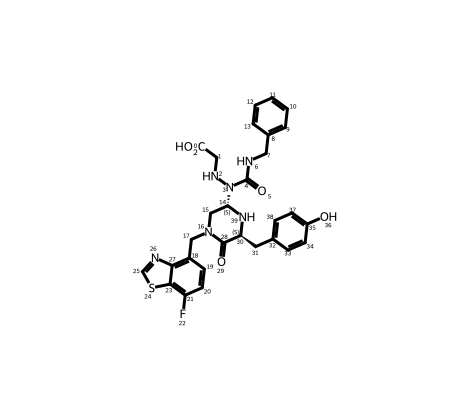 O=C(O)CNN(C(=O)NCc1ccccc1)[C@H]1CN(Cc2ccc(F)c3scnc23)C(=O)[C@H](Cc2ccc(O)cc2)N1